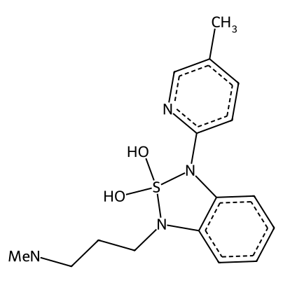 CNCCCN1c2ccccc2N(c2ccc(C)cn2)S1(O)O